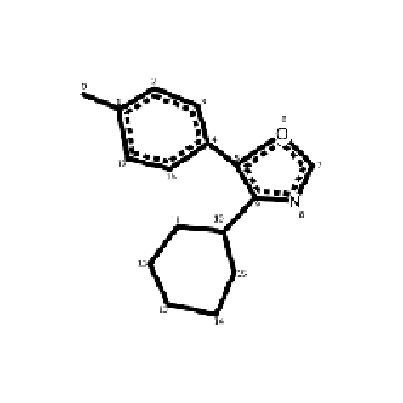 Cc1ccc(-c2ocnc2C2CCCCC2)cc1